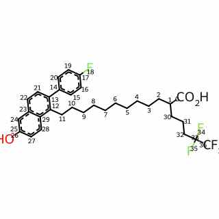 O=C(O)C(CCCCCCCCCCc1c(-c2ccc(F)cc2)ccc2cc(O)ccc12)CCCC(F)(F)C(F)(F)F